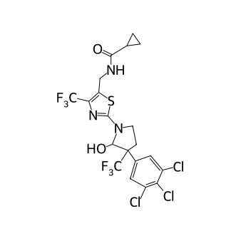 O=C(NCc1sc(N2CCC(c3cc(Cl)c(Cl)c(Cl)c3)(C(F)(F)F)C2O)nc1C(F)(F)F)C1CC1